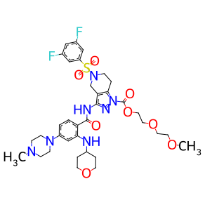 COCCOCCOC(=O)n1nc(NC(=O)c2ccc(N3CCN(C)CC3)cc2NC2CCOCC2)c2c1CCN(S(=O)(=O)c1cc(F)cc(F)c1)C2